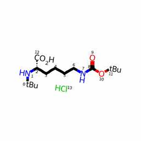 CC(C)(C)N[C@@H](CCCCNC(=O)OC(C)(C)C)C(=O)O.Cl